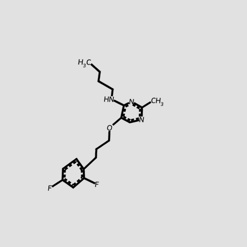 CCCCNc1nc(C)ncc1OCCCc1ccc(F)cc1F